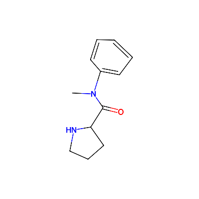 CN(C(=O)C1CCCN1)c1ccccc1